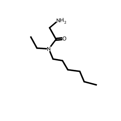 CCCCCCN(CC)C(=O)CN